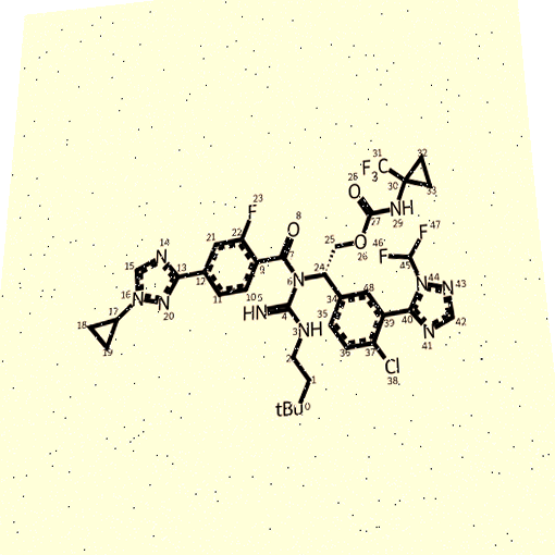 CC(C)(C)CCNC(=N)N(C(=O)c1ccc(-c2ncn(C3CC3)n2)cc1F)[C@H](COC(=O)NC1(C(F)(F)F)CC1)c1ccc(Cl)c(-c2ncnn2C(F)F)c1